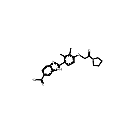 Cc1c(OCC(=O)N2CCCC2)ccc(-c2nc3ccc(C(=O)O)cc3[nH]2)c1C